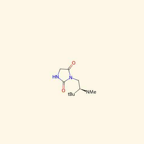 CN[C@H](CN1C(=O)CNC1=O)C(C)(C)C